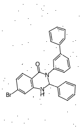 O=C1c2ccc(Br)cc2NC(c2ccccc2)N1c1cccc(-c2ccccc2)c1